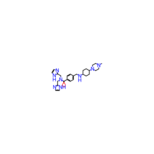 CN1CCN(C2CCC(NCc3ccc(C(=O)N(Cc4ncc[nH]4)Cc4ncc[nH]4)cc3)CC2)CC1